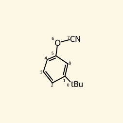 CC(C)(C)c1cccc(OC#N)c1